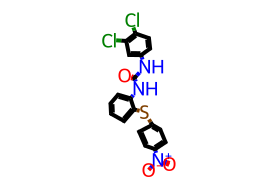 O=C(Nc1ccc(Cl)c(Cl)c1)Nc1ccccc1Sc1ccc([N+](=O)[O-])cc1